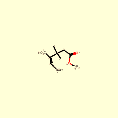 CCCCCCCCC=C(C(=O)O)C(C)(C)CC(=O)O[SiH3]